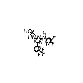 CC(C)(O)CNc1nc(Nc2cnc(F)c(F)c2)nc(-c2cccc(C(F)(F)F)n2)n1